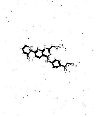 CCC(C)c1ccc(Nc2nc(COC)nc3nc(-c4ncccc4C)ccc23)cc1